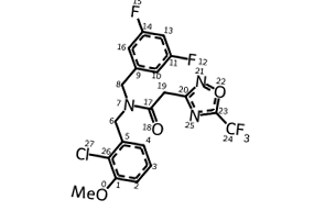 COc1cccc(CN(Cc2cc(F)cc(F)c2)C(=O)Cc2noc(C(F)(F)F)n2)c1Cl